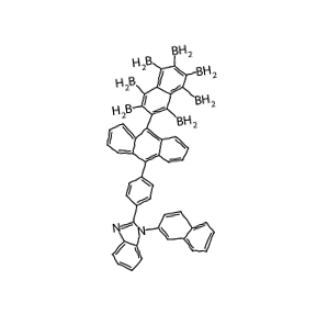 Bc1c(B)c(B)c2c(B)c(-c3c4ccccc4c(-c4ccc(-c5nc6ccccc6n5-c5ccc6ccccc6c5)cc4)c4ccccc34)c(B)c(B)c2c1B